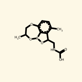 Cc1ccc2c3c1C(CNC(=O)O)OB3OC(C)CO2